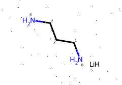 NC[CH]CN.[LiH]